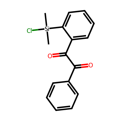 C[Si](C)(Cl)c1ccccc1C(=O)C(=O)c1ccccc1